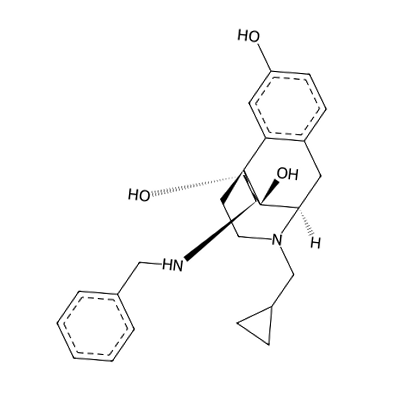 Oc1ccc2c(c1)[C@]13CCN(CC4CC4)[C@H](C2)[C@]1(O)C[C@@H](NCc1ccccc1)[C@H](O)C3